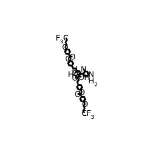 Nc1ccc(C(CC(=O)/C=C/c2ccc(OC(=O)c3ccc(OCCCC(F)(F)F)cc3)cc2)C(O)(O)C(=O)/C=C/c2ccc(OC(=O)c3ccc(OCCCC(F)(F)F)cc3)cc2)c(N)c1